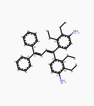 CCc1c(N)ccc(C(=CC=C(c2ccccc2)c2ccccc2)c2ccc(N)c(CC)c2CC)c1CC